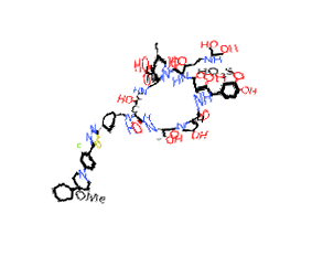 COC1(C2CCCCC2)CCN(c2ccc(-c3nnc([C@H]4CC[C@H](CN[C@H]5C[C@@H](O)CNC(=O)[C@@H]6[C@@H](O)[C@@H](C)CN6C(=O)[C@H]([C@H](O)CCNC(CO)CO)NC(=O)[C@H]([C@H](O)Cc6ccc(O)c(OS(=O)(=O)O)c6)NC(=O)[C@@H]6C[C@@H](O)CN6C(=O)[C@H]([C@@H](C)O)NC5=O)CC4)s3)c(F)c2)CC1